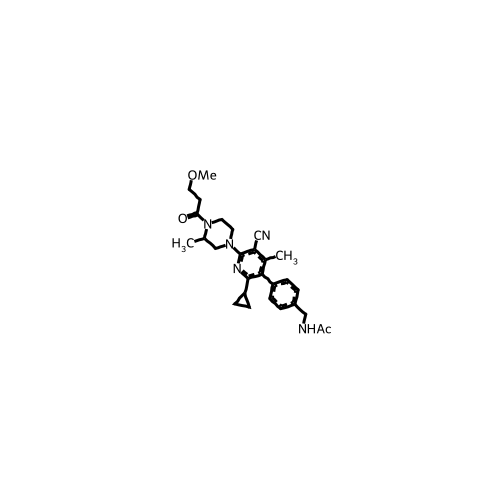 COCCC(=O)N1CCN(c2nc(C3CC3)c(-c3ccc(CNC(C)=O)cc3)c(C)c2C#N)CC1C